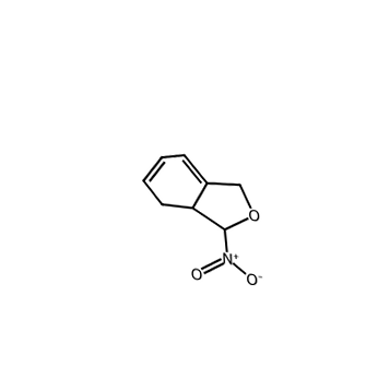 O=[N+]([O-])C1OCC2=CC=CCC21